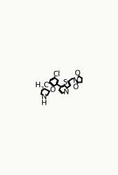 Cc1cc(Cl)cc(-c2ccnc3cc(CN4C(=O)CCC4=O)sc23)c1O[C@H]1CCCNC1